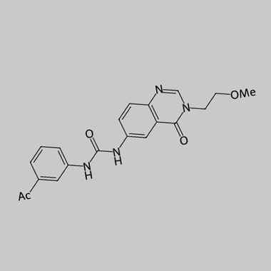 COCCn1cnc2ccc(NC(=O)Nc3cccc(C(C)=O)c3)cc2c1=O